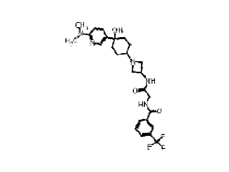 CN(C)c1ccc(C2(O)CCC(N3CC(NC(=O)CNC(=O)c4cccc(C(F)(F)F)c4)C3)CC2)cn1